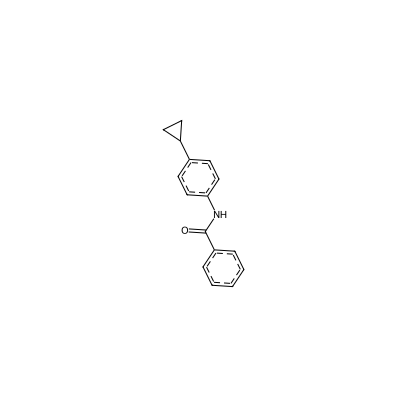 O=C(Nc1ccc(C2CC2)cc1)c1ccccc1